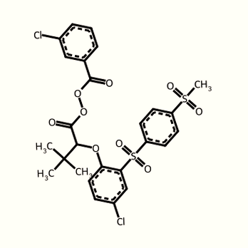 CC(C)(C)C(Oc1ccc(Cl)cc1S(=O)(=O)c1ccc(S(C)(=O)=O)cc1)C(=O)OOC(=O)c1cccc(Cl)c1